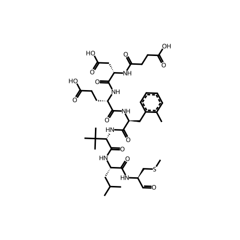 CSC[C@@H](C=O)NC(=O)[C@H](CC(C)C)NC(=O)[C@@H](NC(=O)[C@H](Cc1ccccc1C)NC(=O)[C@H](CCC(=O)O)NC(=O)[C@H](CC(=O)O)NC(=O)CCC(=O)O)C(C)(C)C